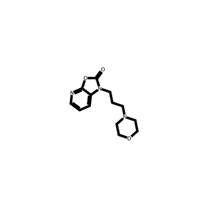 O=c1oc2ncccc2n1CCCN1CCOCC1